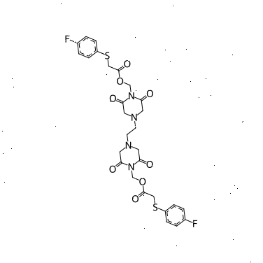 O=C(CSc1ccc(F)cc1)OCN1C(=O)CN(CCN2CC(=O)N(COC(=O)CSc3ccc(F)cc3)C(=O)C2)CC1=O